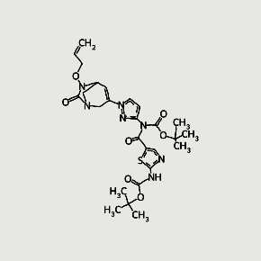 C=CCON1C(=O)N2CC(n3ccc(N(C(=O)OC(C)(C)C)C(=O)c4cnc(NC(=O)OC(C)(C)C)s4)n3)=CC1C2